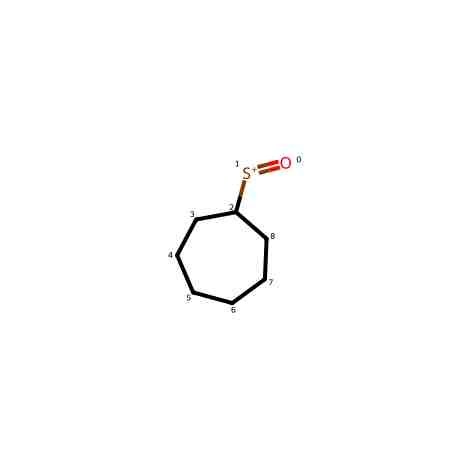 O=[S+]C1CCCCCC1